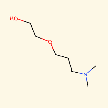 CN(C)CCCOCCO